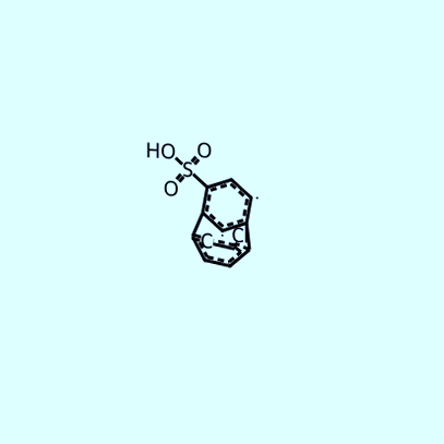 O=S(=O)(O)c1c[c]c2[c]c1-c1ccc-2c(Cl)c1